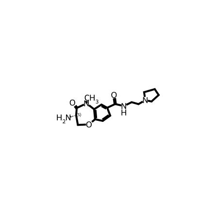 CN1C(=O)[C@@H](N)COc2ccc(C(=O)NCCN3CCCC3)cc21